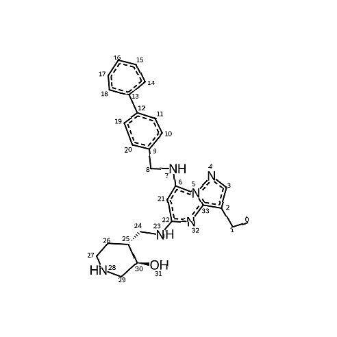 CCc1cnn2c(NCc3ccc(-c4ccccc4)cc3)cc(NC[C@H]3CCNC[C@@H]3O)nc12